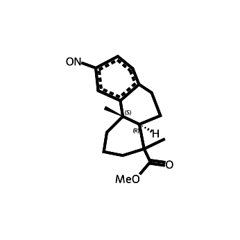 COC(=O)C1(C)CCC[C@]2(C)c3cc(N=O)ccc3CC[C@@H]12